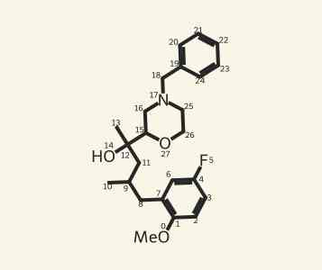 COc1ccc(F)cc1CC(C)CC(C)(O)C1CN(Cc2ccccc2)CCO1